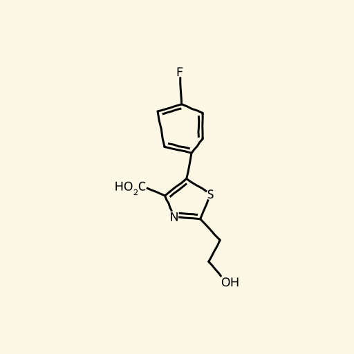 O=C(O)c1nc(CCO)sc1-c1ccc(F)cc1